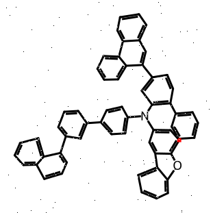 c1ccc(-c2ccc(-c3cc4ccccc4c4ccccc34)cc2N(c2ccc(-c3cccc(-c4cccc5ccccc45)c3)cc2)c2ccc3oc4ccccc4c3c2)cc1